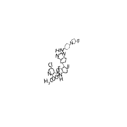 COc1ncc(Cl)cc1S(=O)(=O)Nc1ccc(F)c(-c2ccc3nc(NC4CCC(N5CCC(F)C5)CC4)ncc3c2)c1F